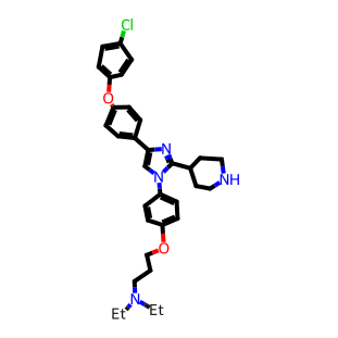 CCN(CC)CCCOc1ccc(-n2cc(-c3ccc(Oc4ccc(Cl)cc4)cc3)nc2C2CCNCC2)cc1